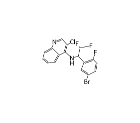 Fc1ccc(Br)cc1C(Nc1c(Cl)cnc2ccccc12)C(F)F